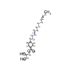 CCCCCCCCCC/C=C/CCCc1ccc(C(=O)OCC(O)CO)cc1